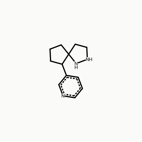 c1cncc(C2CCCC23CCNN3)c1